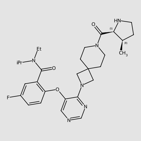 CCN(C(=O)c1cc(F)ccc1Oc1cncnc1N1CC2(CCN(C(=O)[C@H]3NCC[C@H]3C)CC2)C1)C(C)C